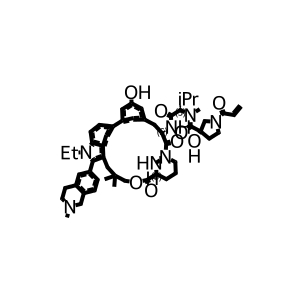 C=CC(=O)N1CCC(O)(C(=O)N(C)[C@H](C(=O)N[C@H]2Cc3cc(O)cc(c3)-c3ccc4c(c3)c(c(-c3ccc5c(c3)CCN(C)C5)n4CC)CC(C)(C)COC(=O)[C@@H]3CCCN(N3)C2=O)C(C)C)C1